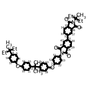 CCC(C)(CC)c1ccc(Oc2ccc(C(C)(C)c3ccc(Oc4ccc(N5C(=O)c6ccc(-c7ccc8c(c7)C(=O)N(C(C)(CC)CC)C8=O)cc6C5=O)cc4)cc3)cc2)cc1